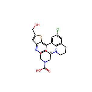 O=C(O)N1CCC[C@@H](N2CCCc3cc(Cl)cc(-c4ccnc5cc(CO)sc45)c32)C1